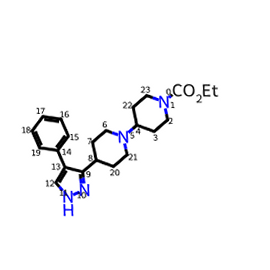 CCOC(=O)N1CCC(N2CCC(c3n[nH]cc3-c3ccccc3)CC2)CC1